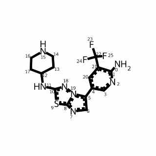 Nc1ncc(-c2cnc3sc(NC4CCNCC4)nn23)cc1C(F)(F)F